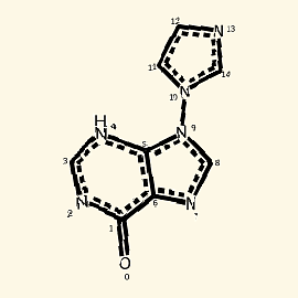 O=c1nc[nH]c2c1ncn2-n1ccnc1